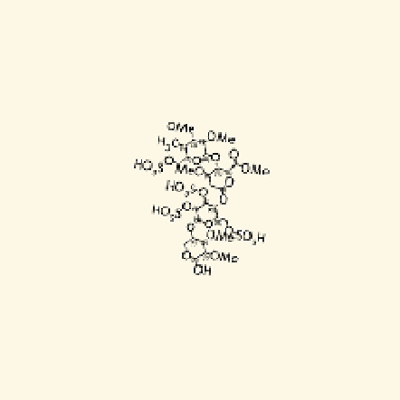 COC(=O)[C@H]1O[C@@H](O[C@H]2[C@H](OS(=O)(=O)O)[C@@H](OS(=O)(=O)O)[C@@H](O[C@@H]3CO[C@@H](O)[C@H](OC)[C@H]3OC)O[C@@H]2COS(=O)(=O)O)C[C@@H](OC)[C@@H]1O[C@H]1O[C@H](COS(=O)(=O)O)[C@@H](C)[C@H](OC)[C@H]1OC